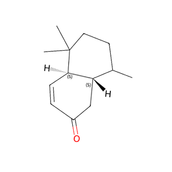 CC1CCC(C)(C)[C@@H]2C=CC(=O)C[C@@H]12